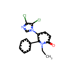 CCn1c(-c2ccccc2)c(-n2cnc(Cl)c2Cl)ccc1=O